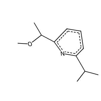 COC(C)c1cccc(C(C)C)n1